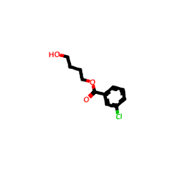 O=C(OCCCCO)c1cccc(Cl)c1